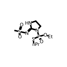 CCCSP(=O)(OCC)N1CCNC1=NS(C)(=O)=O